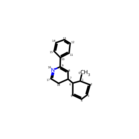 CC1C=CC=CC1C1C=C(c2ccccc2)N=CC1